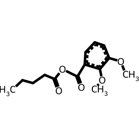 CCCCC(=O)OC(=O)c1cccc(OC)c1OC